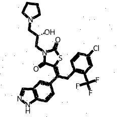 O=C1SC(=C(Cc2ccc(Cl)cc2C(F)(F)F)c2ccc3[nH]ncc3c2)C(=O)N1C[C@@H](O)CN1CCCC1